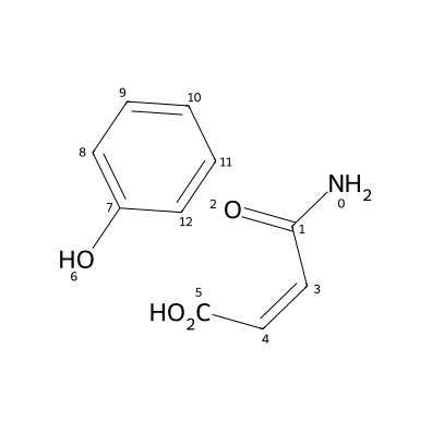 NC(=O)/C=C\C(=O)O.Oc1ccccc1